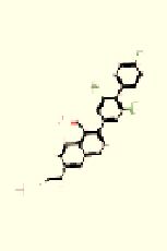 CCCc1ccc2c(C=O)c(-c3cc(F)c(-c4ccc(F)cc4)c(F)c3)ccc2c1